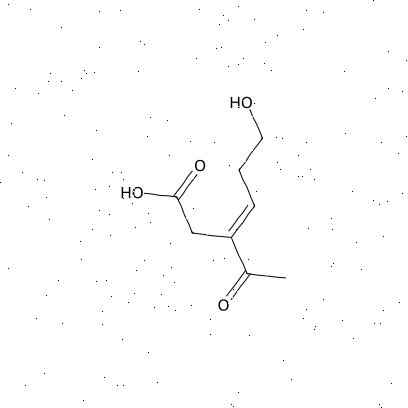 CC(=O)C(=CCCO)CC(=O)O